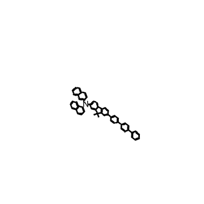 CC1(C)c2cc(-c3ccc(-c4ccc(-c5ccccc5)cc4)cc3)ccc2-c2ccc(N(c3ccc4ccccc4c3)c3cccc4ccccc34)cc21